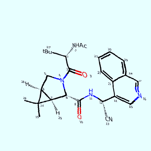 CC(=O)N[C@H](C(=O)N1C[C@H]2[C@@H]([C@H]1C(=O)N[C@@H](C#N)c1cncc3ccccc13)C2(C)C)C(C)(C)C